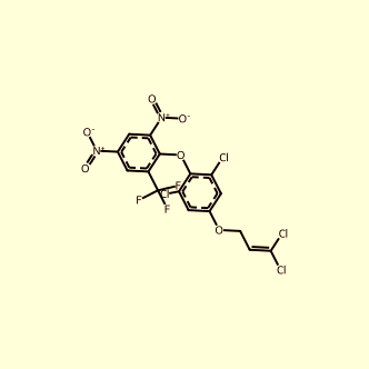 O=[N+]([O-])c1cc([N+](=O)[O-])c(Oc2c(Cl)cc(OCC=C(Cl)Cl)cc2Cl)c(C(F)(F)F)c1